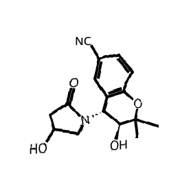 CC1(C)Oc2ccc(C#N)cc2[C@@H](N2CC(O)CC2=O)[C@@H]1O